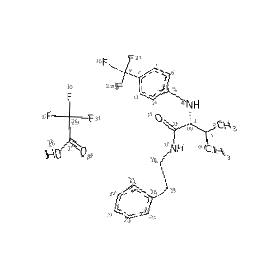 CC(C)[C@@H](Nc1ccc(C(F)(F)F)cc1)C(=O)NCCc1ccccc1.O=C(O)C(F)(F)F